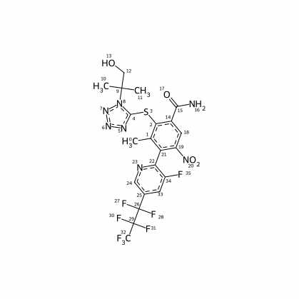 Cc1c(Sc2nnnn2C(C)(C)CO)c(C(N)=O)cc([N+](=O)[O-])c1-c1ncc(C(F)(F)C(F)(F)C(F)(F)F)cc1F